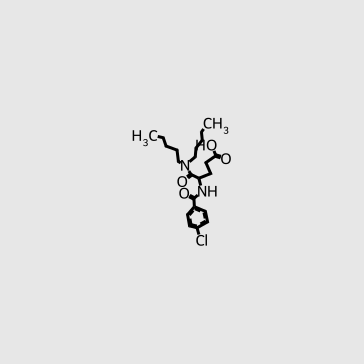 CCCCCN(CCCCC)C(=O)C(CCC(=O)O)NC(=O)c1ccc(Cl)cc1